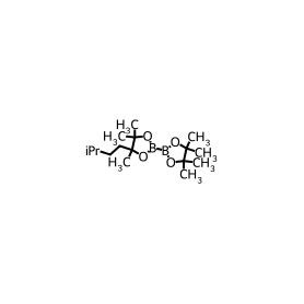 CC(C)CCC1(C)OB(B2OC(C)(C)C(C)(C)O2)OC1(C)C